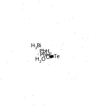 O.O=[Te].[BiH3].[PbH2].[PbH2]